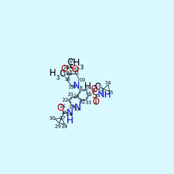 CC1(NS(=O)(=O)c2cc(N3CCC(C)(S(C)(=O)=O)CC3)c3ccc(NC(=O)C45CC4C5)nc3c2)CC1